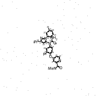 CNC(=O)c1cc(Oc2ccc(N(C(N)=O)c3cc(C(C)C)nn3-c3cccc(C)c3)cc2F)ccn1